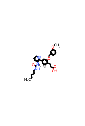 CCCCCNC(=O)N(C)c1cccnc1-c1ccc(CCC(=O)O)c(OCc2cccc(OC)c2)c1